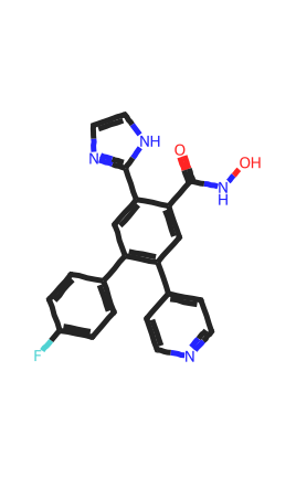 O=C(NO)c1cc(-c2ccncc2)c(-c2ccc(F)cc2)cc1-c1ncc[nH]1